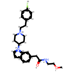 COCCNC(=O)Cc1ccc2ccn(C3CCN(CCc4ccc(F)cc4)CC3)c2c1